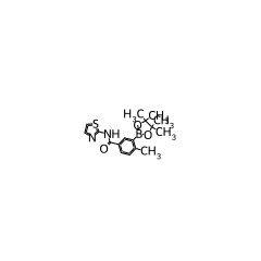 Cc1ccc(C(=O)Nc2nccs2)cc1B1OC(C)(C)C(C)(C)O1